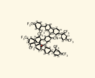 N#Cc1cc(-n2c3cc(-c4ccc(C(F)(F)F)cc4C(F)(F)F)ccc3c3ccc(-c4ccc(C(F)(F)F)cc4C(F)(F)F)cc32)c(-c2c(C(F)(F)F)cccc2C(F)(F)F)cc1-n1c2cc(-c3ccc(C(F)(F)F)cc3C(F)(F)F)ccc2c2ccc(-c3ccc(C(F)(F)F)cc3C(F)(F)F)cc21